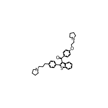 O=C(c1ccc(OCCN2CCCC2)cc1)c1c(-c2ccc(CCCN3CCCC3)cc2)sc2ccccc12